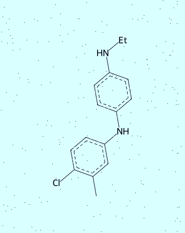 CCNc1ccc(Nc2ccc(Cl)c(C)c2)cc1